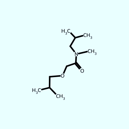 CC(C)COCC(=O)N(C)CC(C)C